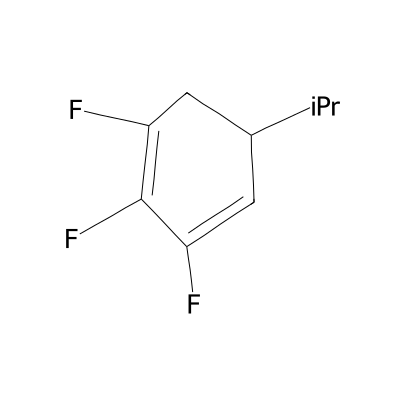 CC(C)C1C=C(F)C(F)=C(F)C1